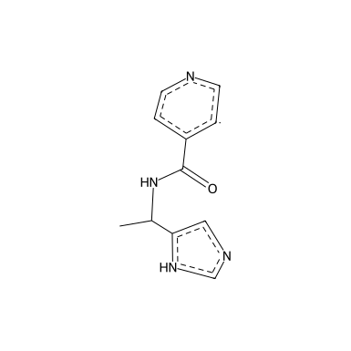 CC(NC(=O)c1[c]cncc1)c1cnc[nH]1